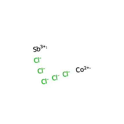 [Cl-].[Cl-].[Cl-].[Cl-].[Cl-].[Co+2].[Sb+3]